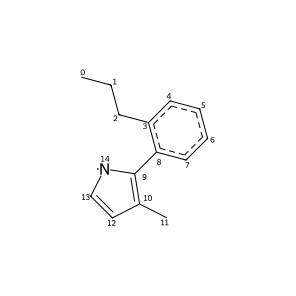 CCCc1ccccc1C1=C(C)C=C[N]1